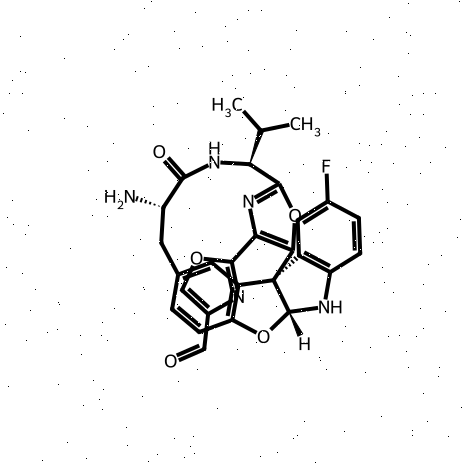 CC(C)[C@@H]1NC(=O)[C@@H](N)Cc2ccc3c(c2)[C@@]2(c4cc(F)ccc4N[C@@H]2O3)c2oc1nc2-c1nc(C=O)co1